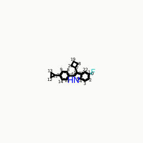 Fc1ccc2[nH]c(-c3ccc(C4CC4)cc3)c(C3CCC3)c2c1